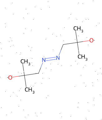 CC(C)([O])C/N=N/CC(C)(C)[O]